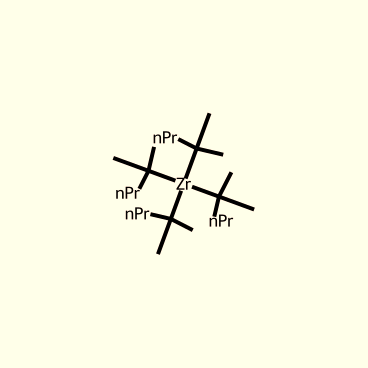 CCC[C](C)(C)[Zr]([C](C)(C)CCC)([C](C)(C)CCC)[C](C)(C)CCC